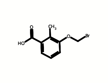 Cc1c(OCBr)cccc1C(=O)O